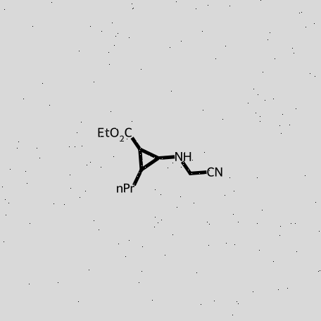 CCCC1C(NCC#N)C1C(=O)OCC